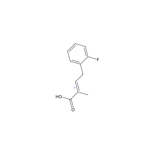 C/C(=C\Cc1ccccc1F)C(=O)O